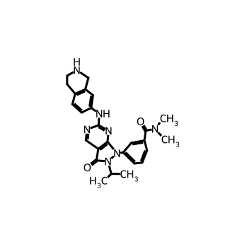 CC(C)n1c(=O)c2cnc(Nc3ccc4c(c3)CNCC4)nc2n1-c1cccc(C(=O)N(C)C)c1